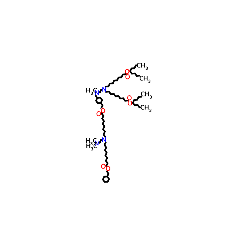 CCCCCC(CCCC)OC(=O)CCCCCCCCCN(CCCCCCCCCC(=O)OC(CCCC)CCCCC)CCN(C)CC1CCC(CCOC(=O)CCCCCCCCCN(CCCCCCCCCC(=O)OCCC2CCCCC2)CCN(C)C)CC1